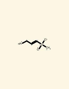 CCCCC=C[Si](C)(Cl)Cl